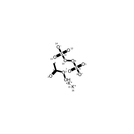 CC(=O)OO.O=S(=O)([O-])OOS(=O)(=O)[O-].[K+].[K+]